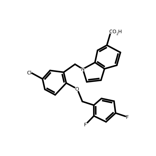 O=C(O)c1ccc2ccn(Cc3cc(Cl)ccc3OCc3ccc(F)cc3F)c2c1